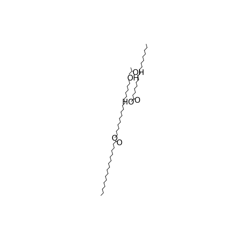 CC(O)CO.CCCCCCCCCCCCCCCCCC(=O)O.CCCCCCCCCCCCCCCCCCOC(=O)CCCCCCCCCCCCCCCCC